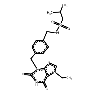 CCn1cnc2c1c(=O)[nH]c(=O)n2Cc1ccc(CNS(=O)(=O)CC(C)C)cc1